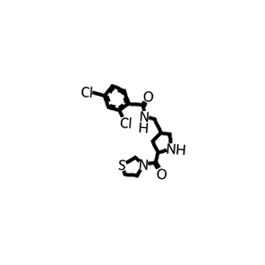 O=C(NCC1CNC(C(=O)N2CCSC2)C1)c1ccc(Cl)cc1Cl